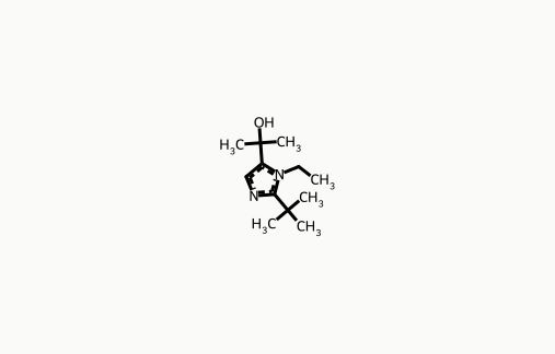 CCn1c(C(C)(C)O)cnc1C(C)(C)C